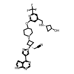 N#CC[C@]1(n2cc(-c3ncnc4[nH]ccc34)cn2)C[C@@H](N2CCC(Oc3cc(CN[C@H]4C[C@H](O)C4)cc(C(F)(F)F)n3)CC2)C1